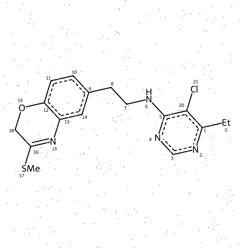 CCc1ncnc(NCCc2ccc3c(c2)N=C(SC)CO3)c1Cl